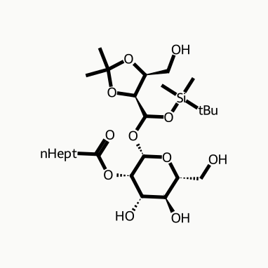 CCCCCCCC(=O)O[C@@H]1[C@H](OC(O[Si](C)(C)C(C)(C)C)[C@H]2OC(C)(C)O[C@H]2CO)O[C@H](CO)[C@@H](O)[C@@H]1O